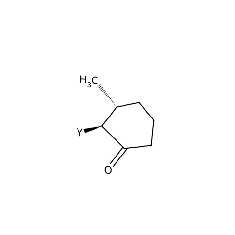 C[C@@H]1CCCC(=O)[C@H]1[Y]